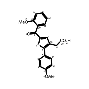 COc1ccc(-c2sc(C(=O)c3ccccc3OC)cc2CC(=O)O)cc1